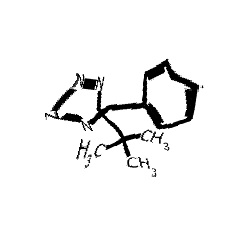 CC(C)(C)C1(c2cc[c]cc2)N=NN=N1